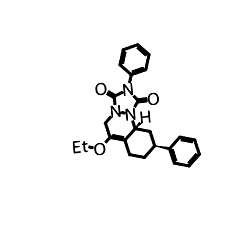 CCOC1=C2CC[C@H](c3ccccc3)C[C@H]2n2c(=O)n(-c3ccccc3)c(=O)n2C1